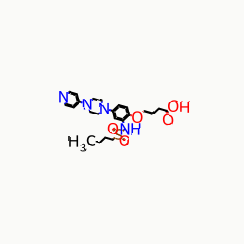 CCCCS(=O)(=O)Nc1cc(N2CCN(c3ccncc3)CC2)ccc1OCCCC(=O)O